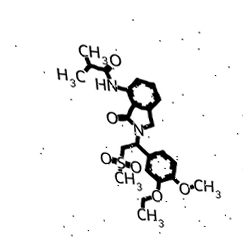 CCOc1cc(C(CS(C)(=O)=O)N2Cc3cccc(NC(=O)C(C)C)c3C2=O)ccc1OC